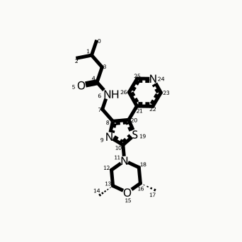 CC(C)CC(=O)NCc1nc(N2C[C@@H](C)O[C@@H](C)C2)sc1-c1ccncc1